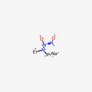 CCN(C(C)C)[N+]([O-])=N[O-].[Na+]